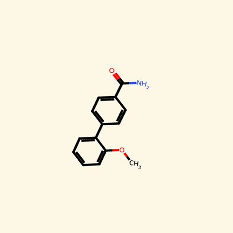 COc1ccccc1-c1ccc(C(N)=O)cc1